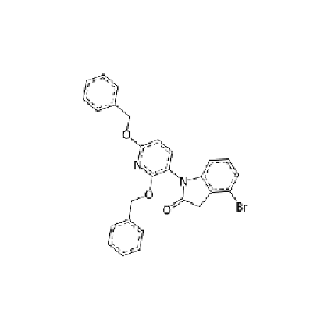 O=C1Cc2c(Br)cccc2N1c1ccc(OCc2ccccc2)nc1OCc1ccccc1